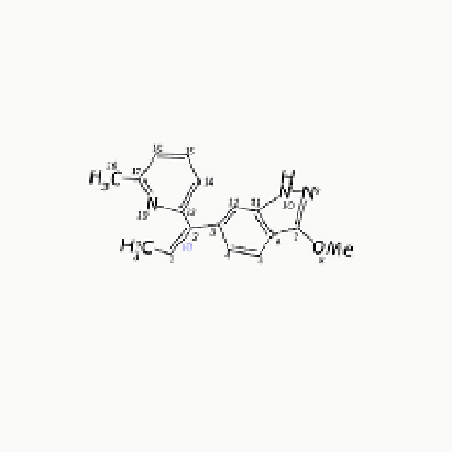 C/C=C(/c1ccc2c(OC)n[nH]c2c1)c1cccc(C)n1